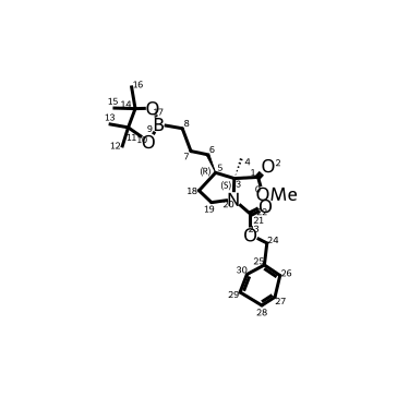 COC(=O)[C@]1(C)[C@H](CCCB2OC(C)(C)C(C)(C)O2)CCN1C(=O)OCc1ccccc1